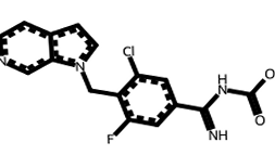 N=C(NC(=O)O)c1cc(F)c(Cn2ccc3ccncc32)c(Cl)c1